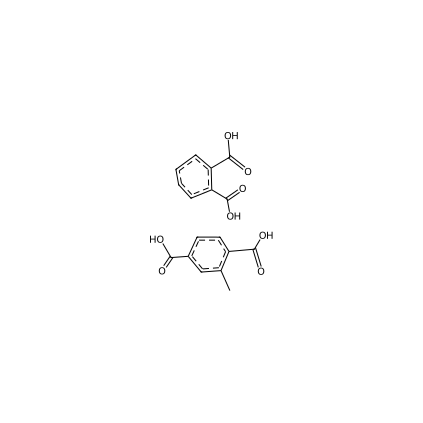 Cc1cc(C(=O)O)ccc1C(=O)O.O=C(O)c1ccccc1C(=O)O